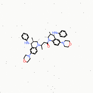 CC(CC(=O)N1c2ccc(N3CCOCC3)cc2[C@@H](Nc2ccccc2)[C@H](C)[C@H]1C)N1c2ccc(N3CCOCC3)cc2[C@H](Nc2ccccc2)[C@@H](C)[C@@H]1C